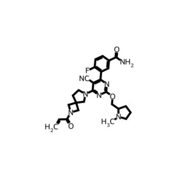 C=CC(=O)N1CC2(CCN(c3nc(OCC4CCCN4C)nc(-c4cc(C(N)=O)ccc4F)c3C#N)C2)C1